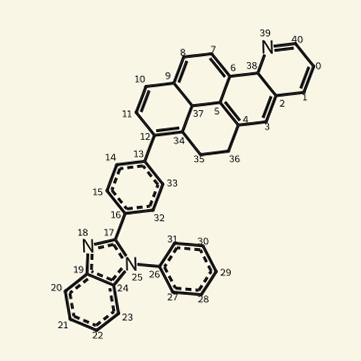 C1=CC2=CC3=C4C(=CC=C5C=CC(c6ccc(-c7nc8ccccc8n7-c7ccccc7)cc6)=C(CC3)C54)C2N=C1